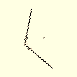 CCCCCCCCC=CCCCCCCCC=NOCC[N+](C)(C)CCON=CCCCCCCCC=CCCCCCCCC.[I-]